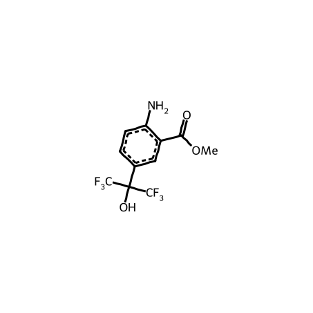 COC(=O)c1cc(C(O)(C(F)(F)F)C(F)(F)F)ccc1N